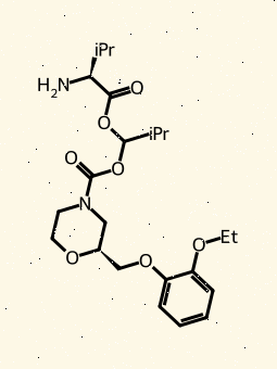 CCOc1ccccc1OC[C@@H]1CN(C(=O)OC(OC(=O)[C@@H](N)C(C)C)C(C)C)CCO1